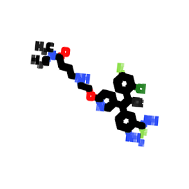 CC/C(=C(/c1ccc(OCCNC/C=C/C(=O)N(C)C)nc1)c1ccc(N)c(C(=N)F)c1)c1ccc(F)cc1Cl